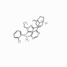 Cc1cc(N2C[C@@H]3CC[C@@H](C2)C3Nc2nc(Oc3ccccc3Cl)n(CC(F)(F)F)n2)ncn1